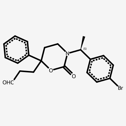 C[C@@H](c1ccc(Br)cc1)N1CCC(CCC=O)(c2ccccc2)OC1=O